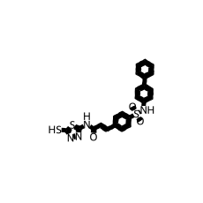 O=C(/C=C/c1ccc(S(=O)(=O)Nc2ccc(-c3ccccc3)cc2)cc1)Nc1nnc(S)s1